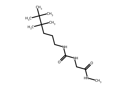 CNC(=O)CNC(=O)NCCCC(C)(C)C(C)(C)C